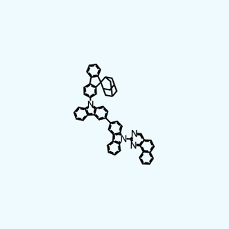 c1ccc2c(c1)-c1ccc(-n3c4ccccc4c4cc(-c5ccc6c(c5)c5ccccc5n6-c5ncc6ccc7ccccc7c6n5)ccc43)cc1C21C2CC3CC(C2)CC1C3